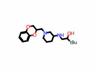 CC(C)(C)C(O)CNC1CCCN(CC2COc3ccccc3O2)C1